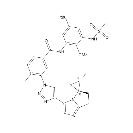 COc1c(NC(=O)c2ccc(C)c(-n3cc(-c4cnc5n4[C@]4(CC5)C[C@@H]4C)nn3)c2)cc(C(C)(C)C)cc1NS(C)(=O)=O